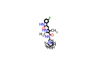 [2H]C1([2H])N(CCNC(=O)c2c(C)[nH]c(/C=C3\C(=O)Nc4ccc(F)cc43)c2C)C([2H])([2H])C([2H])([2H])C1([2H])[2H]